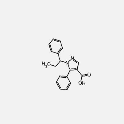 CCC(c1ccccc1)n1ncc(C(=O)O)c1-c1ccccc1